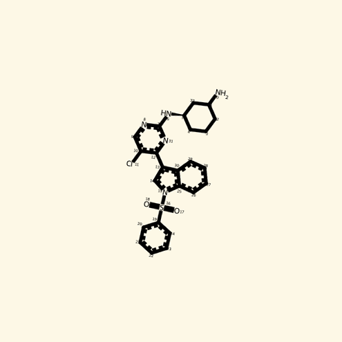 NC1CCC[C@@H](Nc2ncc(Cl)c(-c3cn(S(=O)(=O)c4ccccc4)c4ccccc34)n2)C1